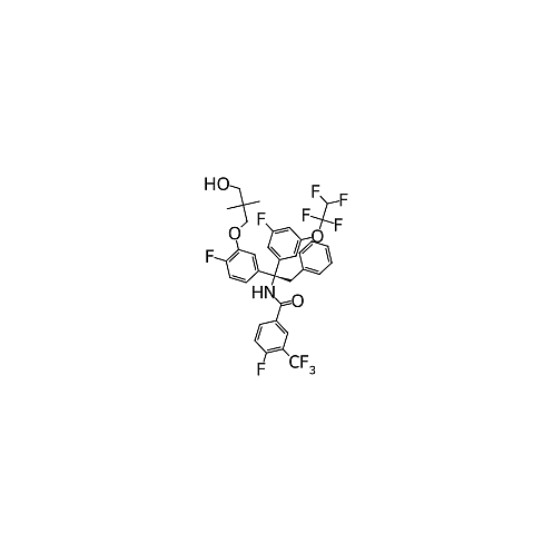 CC(C)(CO)COc1cc([C@@](Cc2ccccc2)(NC(=O)c2ccc(F)c(C(F)(F)F)c2)c2cc(F)cc(OC(F)(F)C(F)F)c2)ccc1F